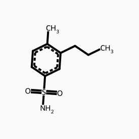 CCCc1cc(S(N)(=O)=O)ccc1C